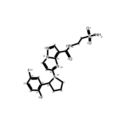 NS(=O)(=O)CCNC(=O)c1cnn2ccc(N3CCCC3c3cc(F)ccc3F)nc12